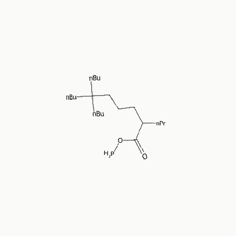 CCCCC(CCCC)(CCCC)CCCC(CCC)C(=O)OP